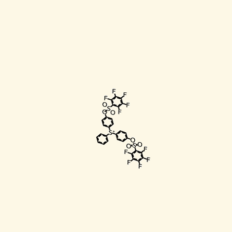 O=S(=O)(Oc1ccc([S+](c2ccccc2)c2ccc(OS(=O)(=O)c3c(F)c(F)c(F)c(F)c3F)cc2)cc1)c1c(F)c(F)c(F)c(F)c1F